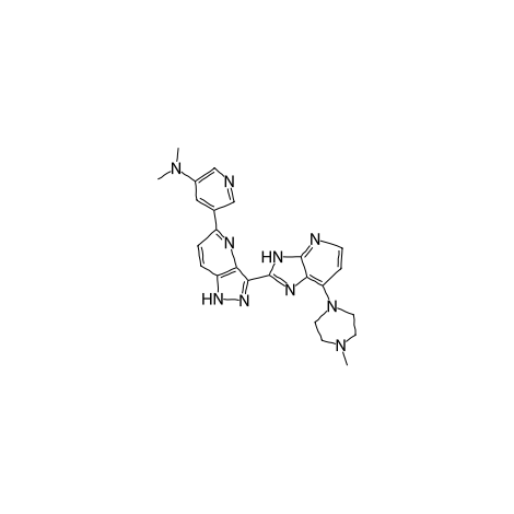 CN1CCN(c2ccnc3[nH]c(-c4n[nH]c5ccc(-c6cncc(N(C)C)c6)nc45)nc23)CC1